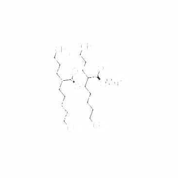 CCCCCCC(CCCC)C(=O)[O-].CCCCCCC(CCCC)C(=O)[O-].[Mg+2]